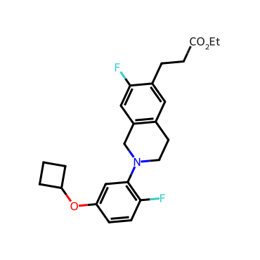 CCOC(=O)CCc1cc2c(cc1F)CN(c1cc(OC3CCC3)ccc1F)CC2